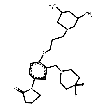 CC1CC(C)CN(CCCOc2ccc(N3CCCC3=O)cc2CN2CCC(F)(F)CC2)C1